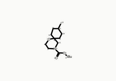 CC(C)(C)OC(=O)N1CCOC2(CCC(I)CC2)C1